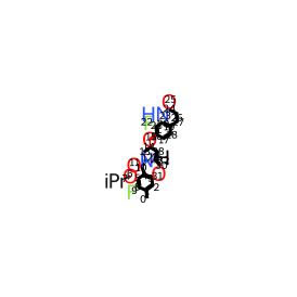 Cc1cc2c(c(OC(C)C)c1F)C(=O)N1C[C@@H](Oc3ccc4c(c3F)NC(=O)CC4)C[C@@H]1CO2